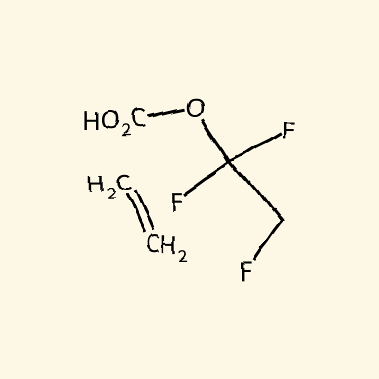 C=C.O=C(O)OC(F)(F)CF